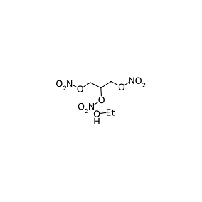 CCO.O=[N+]([O-])OCC(CO[N+](=O)[O-])O[N+](=O)[O-]